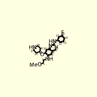 COCCNc1cc2cnc(Nc3cccc(F)c3)nc2cc1OC1CCNCC1